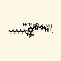 CCCCCCCCCOc1ccc(-c2noc(C3CN(C(=N)N)C3)n2)cc1C(F)(F)F.Cl